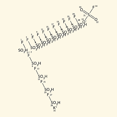 O=S(=O)(O)F.O=S(=O)(O)F.O=S(=O)(O)F.O=S(=O)(O)F.O=S(=O)(O)F.O=S(=O)(O)F.O=S(=O)(O)F.O=S(=O)(O)F.O=S(=O)(O)F.O=S(=O)(O)F.O=S(=O)(O)F.O=S(=O)(O)F.O=S(=O)(O)F.O=S(=O)(O)F.O=S(=O)(O)F.O=S(=O)([O-])F.[K+]